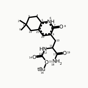 CC1(C)CCc2[nH]c(=O)c(CC(NC(=O)OC(C)(C)C)C(N)=O)cc2C1